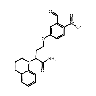 NC(=O)C(CCOc1ccc([N+](=O)[O-])c(C=O)c1)N1CCCc2ccccc21